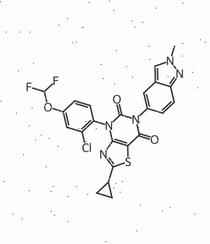 Cn1cc2cc(-n3c(=O)c4sc(C5CC5)nc4n(-c4ccc(OC(F)F)cc4Cl)c3=O)ccc2n1